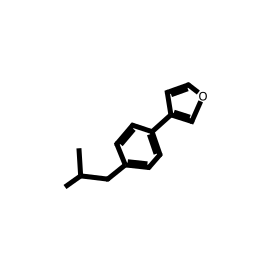 CC(C)Cc1ccc(-c2ccoc2)cc1